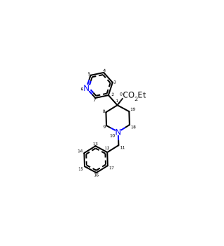 CCOC(=O)C1(c2cccnc2)CCN(Cc2ccccc2)CC1